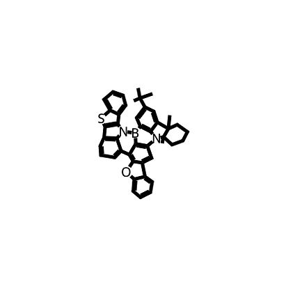 CC(C)(C)c1cc2c3c(c1)C1(C)CCCCC1(C)N3c1cc3c(oc4ccccc43)c3c1B2n1c2c-3cccc2c2sc3ccccc3c21